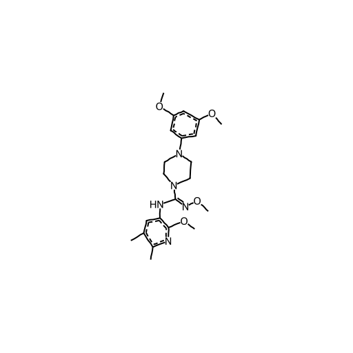 CON=C(Nc1cc(C)c(C)nc1OC)N1CCN(c2cc(OC)cc(OC)c2)CC1